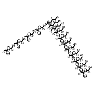 CCCCCC.CCCCCC.CCCCCC.CCOC(C)=O.CCOC(C)=O.CCOC(C)=O.CCOC(C)=O.CCOC(C)=O.CCOC(C)=O.CCOC(C)=O.CCOC(C)=O.CCOC(C)=O.CCOC(C)=O.CCOC(C)=O.CCOC(C)=O